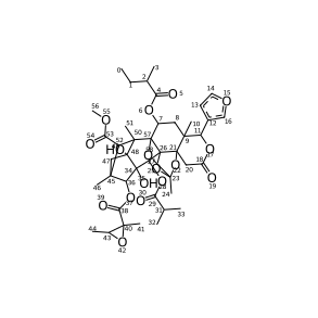 CCC(C)C(=O)OC1CC2(C)C(c3ccoc3)OC(=O)CC23OC2(C)OC34C(OC(=O)C(C)C)C3(O)C(OC(=O)C5(C)OC5C)C5(C)CC3(O)C(C)(C5C(=O)OC)C14O2